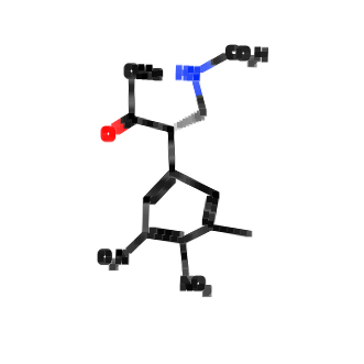 COC(=O)[C@H](CNC(=O)O)c1cc(C)c([N+](=O)[O-])c([N+](=O)[O-])c1